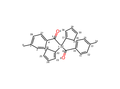 Cc1ccc([C](=O)[Ti]([C](=O)c2ccc(C)cc2)([C]2=CC=CC2)[C]2=CC=CC2)cc1